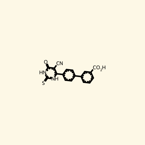 N#Cc1c(-c2ccc(-c3cccc(C(=O)O)c3)cc2)[nH]c(=S)[nH]c1=O